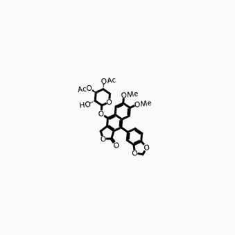 COc1cc2c(OC3OC[C@@H](OC(C)=O)[C@H](OC(C)=O)[C@H]3O)c3c(c(-c4ccc5c(c4)OCO5)c2cc1OC)C(=O)OC3